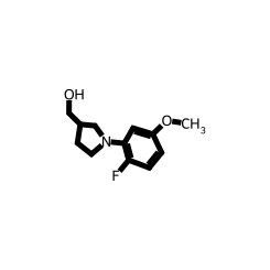 COc1ccc(F)c(N2CCC(CO)C2)c1